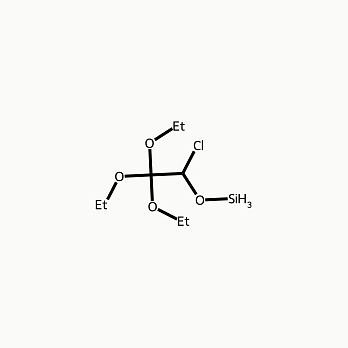 CCOC(OCC)(OCC)C(Cl)O[SiH3]